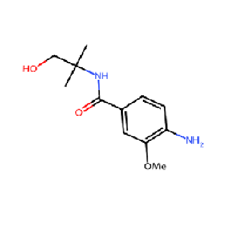 COc1cc(C(=O)NC(C)(C)CO)ccc1N